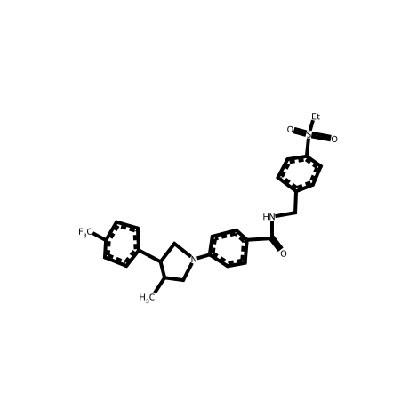 CCS(=O)(=O)c1ccc(CNC(=O)c2ccc(N3CC(C)C(c4ccc(C(F)(F)F)cc4)C3)cc2)cc1